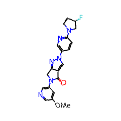 COc1cncc(N2Cc3nn(-c4ccc(N5CC[C@@H](F)C5)nc4)cc3C2=O)c1